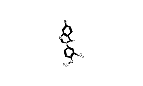 O=c1c2ccc(Br)cc2ncn1-c1ccc(OC(F)(F)F)c([N+](=O)[O-])c1